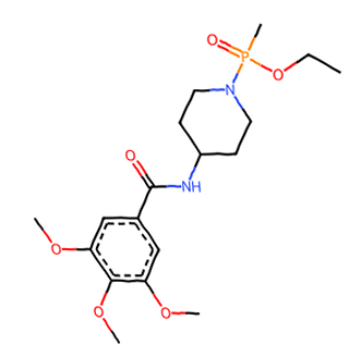 CCOP(C)(=O)N1CCC(NC(=O)c2cc(OC)c(OC)c(OC)c2)CC1